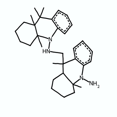 CC1(CNN2c3ccccc3C(C)(C)C3(C)CCCCC23C)c2ccccc2N(N)C2(C)CCCCC12